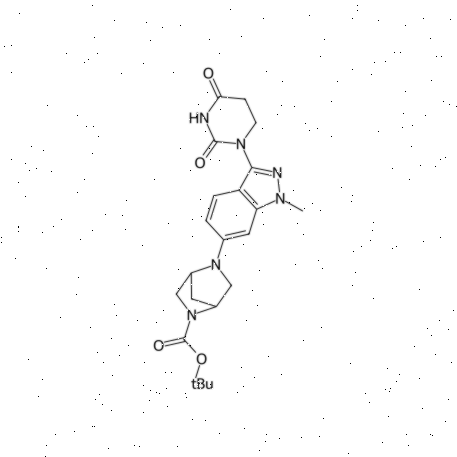 Cn1nc(N2CCC(=O)NC2=O)c2ccc(N3CC4CC3CN4C(=O)OC(C)(C)C)cc21